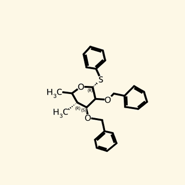 CC1O[C@H](Sc2ccccc2)C(OCc2ccccc2)[C@@H](OCc2ccccc2)[C@@H]1C